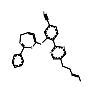 C/C=C/CCc1cnc(-c2ccc(C#N)cc2OC2=C=CCN=C(c3ccccc3)S2)nc1